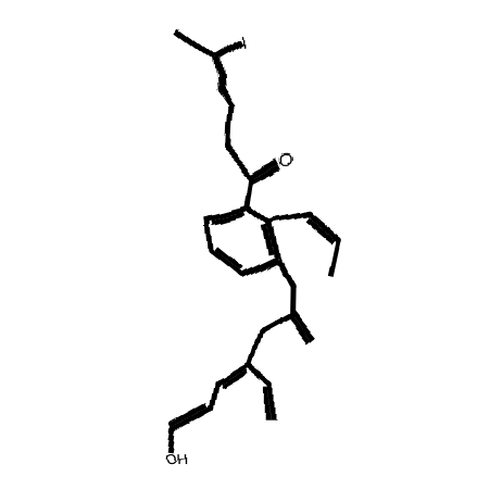 C=C/C(=C\C=C\O)CC(=C)Cc1cccc(C(=O)CCCC(C)I)c1/C=C\C